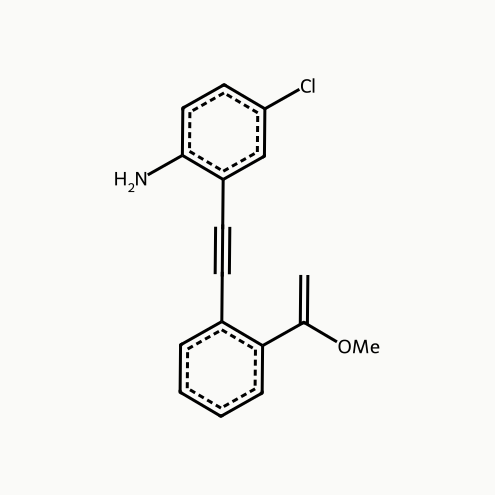 C=C(OC)c1ccccc1C#Cc1cc(Cl)ccc1N